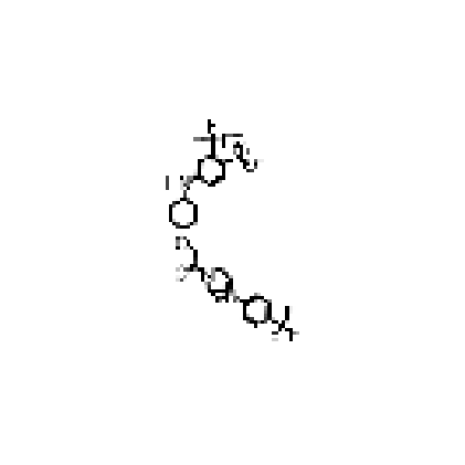 O=C(CO[C@H]1CC[C@H](Nc2ccc([N+](=O)[O-])c(C(F)(F)F)c2)CC1)N1CC2CC1CN2c1ccc(C(F)(F)F)cc1